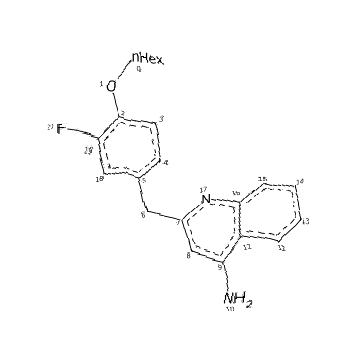 CCCCCCOc1ccc(Cc2cc(N)c3ccccc3n2)cc1F